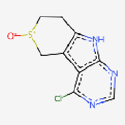 [O-][S+]1CCc2[nH]c3ncnc(Cl)c3c2C1